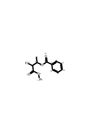 CCC(C(=O)OC(C)C)C(C)OC(=O)c1ccccc1